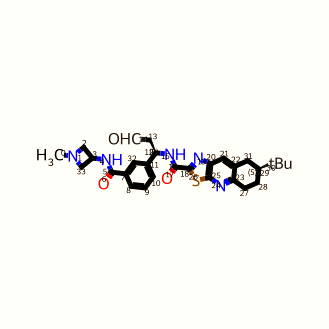 CN1CC(NC(=O)c2cccc([C@@H](CC=O)NC(=O)c3nc4cc5c(nc4s3)CC[C@H](C(C)(C)C)C5)c2)C1